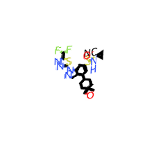 N#CC1(N[S+]([O-])c2cc(C3CCC4(CC3)COC4)c3cnn(-c4nnc(C(F)F)s4)c3c2)CC1